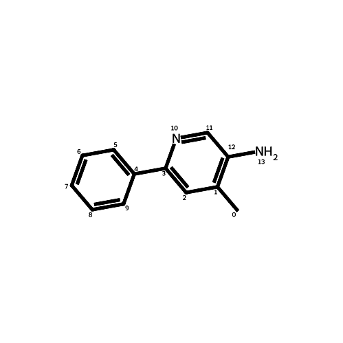 Cc1cc(-c2ccccc2)ncc1N